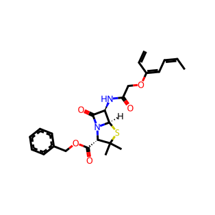 C=C/C(=C\C=C/C)OCC(=O)N[C@@H]1C(=O)N2[C@@H]1SC(C)(C)[C@@H]2C(=O)OCc1ccccc1